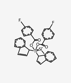 C[Si](C)=[Ti]([O]C(=O)c1ccc(F)cc1)([O]C(=O)c1ccc(F)cc1)([CH]1C=Cc2ccccc21)[CH]1C=Cc2ccccc21